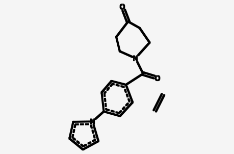 C=C.O=C1CCN(C(=O)c2ccc(-n3cccc3)cc2)CC1